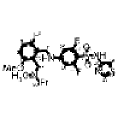 COc1ccc(F)c(CNc2cc(F)c(S(=O)(=O)Nc3cscn3)c(F)c2)c1CN(C)C(C)C